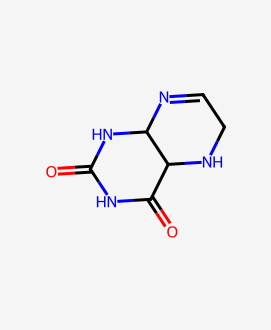 O=C1NC(=O)C2NCC=NC2N1